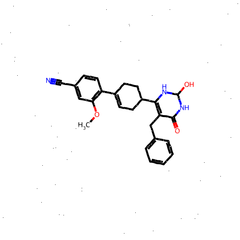 COc1cc(C#N)ccc1C1=CCC(C2=C(Cc3ccccc3)C(=O)NC(O)N2)CC1